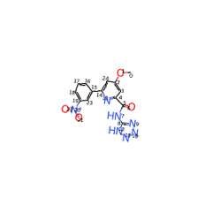 COc1cc(C(=O)Nc2nnn[nH]2)nc(-c2cccc([N+](=O)[O-])c2)c1